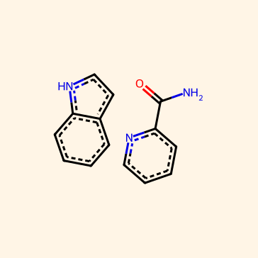 NC(=O)c1ccccn1.c1ccc2[nH]ccc2c1